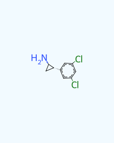 N[C@@H]1C[C@H]1c1cc(Cl)cc(Cl)c1